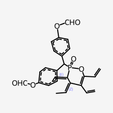 C=CC1=C(C=C)C(=C/C)/C(=C\C)P(=O)(C(c2ccc(OC=O)cc2)c2ccc(OC=O)cc2)O1